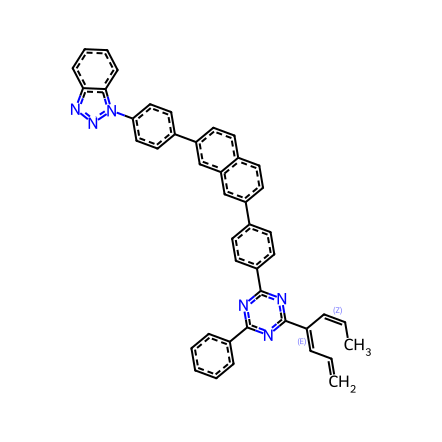 C=C/C=C(\C=C/C)c1nc(-c2ccccc2)nc(-c2ccc(-c3ccc4ccc(-c5ccc(-n6nnc7ccccc76)cc5)cc4c3)cc2)n1